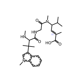 CNC(C(=O)NCC(=O)N(C)C(/C=C(\C)C(=O)O)C(C)C)C(C)(C)c1cn(C)c2ccccc12